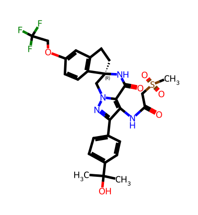 CC(C)(O)c1ccc(-c2nn3c(c2NC(=O)CS(C)(=O)=O)C(=O)N[C@@]2(CCc4cc(OCC(F)(F)F)ccc42)C3)cc1